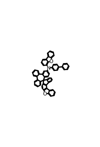 c1ccc(-c2ccc(N(c3ccc4c(c3)-c3ccccc3-c3ccccc3C43c4ccccc4-c4c3ccc3oc5ccccc5c43)c3cccc4c3oc3ccccc34)cc2)cc1